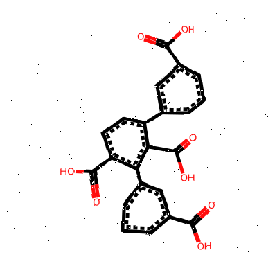 O=C(O)c1cccc(-c2ccc(C(=O)O)c(-c3cccc(C(=O)O)c3)c2C(=O)O)c1